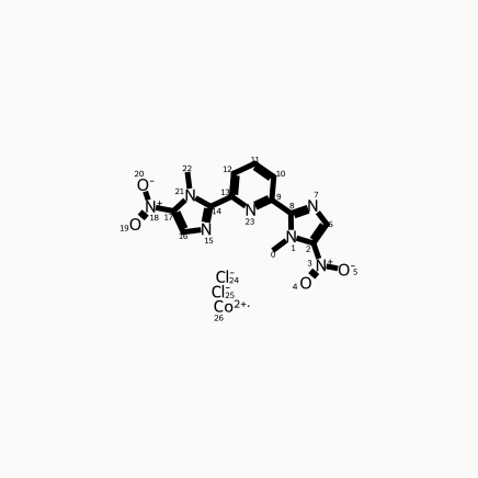 Cn1c([N+](=O)[O-])cnc1-c1cccc(-c2ncc([N+](=O)[O-])n2C)n1.[Cl-].[Cl-].[Co+2]